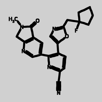 CN1Cc2ncc(-c3nc(C#N)ccc3-c3cnc(CC4(F)CCCC4)o3)cc2C1=O